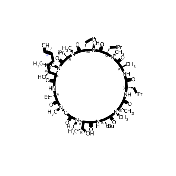 C/C=C/C[C@@H](C)[C@@H](O)[C@H]1C(=O)N[C@@H](CC)C(=O)N(C)CC(=O)N(C)[C@@H]([C@@H](C)O)C(=O)N[C@@H](C(C)(C)C)C(=O)N(C)[C@@H](C)C(=O)N[C@@H](CC(C)C)C(=O)N[C@H](C)C(=O)N(C)[C@@H](CC(C)C)C(=O)N(C)[C@@H](CC(C)C)C(=O)N(C)[C@@H](C(C)C)C(=O)N1C